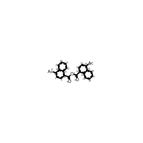 CC(=O)c1ccc(C(=O)OC(=O)c2ccc(C(C)=O)c3ccccc23)c2ccccc12